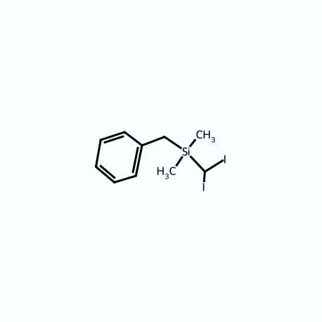 C[Si](C)(Cc1ccccc1)C(I)I